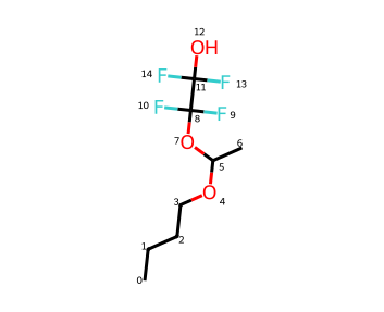 CCCCOC(C)OC(F)(F)C(O)(F)F